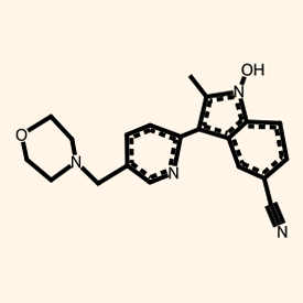 Cc1c(-c2ccc(CN3CCOCC3)cn2)c2cc(C#N)ccc2n1O